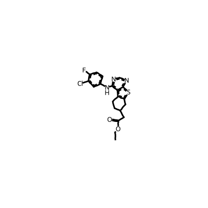 CCOC(=O)CC1CCc2c(sc3ncnc(Nc4ccc(F)c(Cl)c4)c23)C1